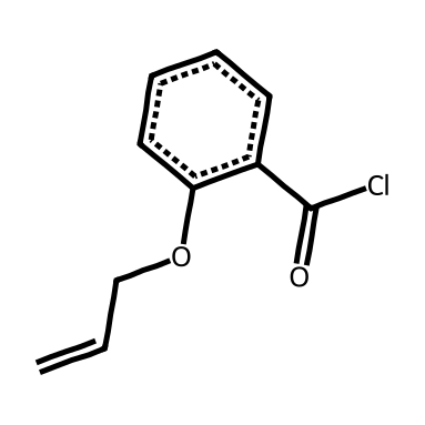 C=CCOc1ccccc1C(=O)Cl